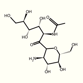 CC(=O)N[C@@H](C(=O)C1O[C@H](CO)[C@@H](O)[C@H](O)[C@H]1N)[C@@H](O)[C@H](O)[C@H](O)CO